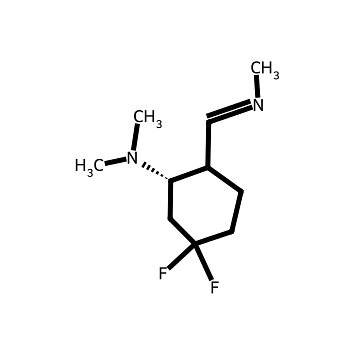 C/N=C/C1CCC(F)(F)C[C@@H]1N(C)C